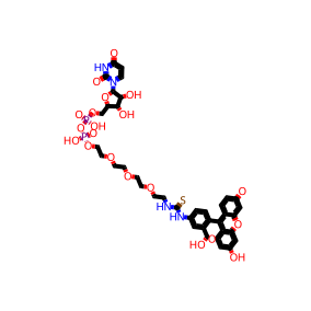 O=C(O)c1cc(NC(=S)NCCOCCOCCOCCOP(=O)(O)OP(=O)(O)OCC2OC(n3ccc(=O)[nH]c3=O)C(O)C2O)ccc1-c1c2ccc(=O)cc-2oc2cc(O)ccc12